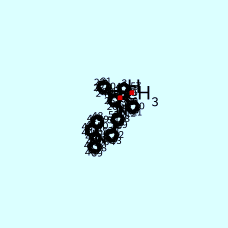 CC12[C@H]3CC[C@H]1CC2(c1ccccc1N(c1ccc(-c2ccccc2)cc1)c1ccc(-c2cccc(-n4c5ccccc5c5ccc6ccccc6c54)c2)cc1)C3